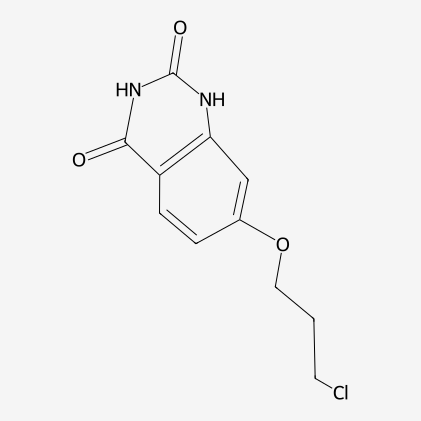 O=c1[nH]c(=O)c2ccc(OCCCCl)cc2[nH]1